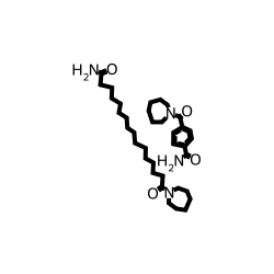 NC(=O)CCCCCCCCCCCCCCC(=O)N1CCCCCC1.NC(=O)c1ccc(C(=O)N2CCCCCC2)cc1